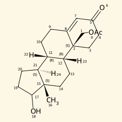 CC(=O)OC[C@]12CCC(=O)C=C1CC[C@@H]1[C@H]2CC[C@]2(C)C(O)CC[C@@H]12